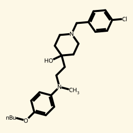 CCCCOc1ccc(N(C)CCC2(O)CCN(Cc3ccc(Cl)cc3)CC2)cc1